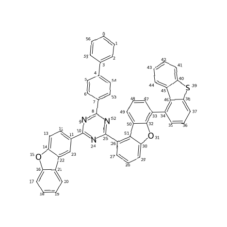 c1ccc(-c2ccc(-c3nc(-c4ccc5oc6ccccc6c5c4)nc(-c4cccc5oc6c(-c7cccc8sc9ccccc9c78)cccc6c45)n3)cc2)cc1